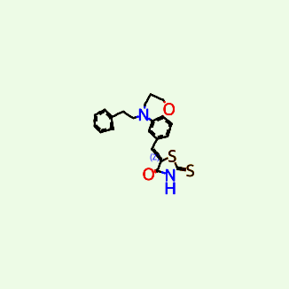 O=C1NC(=S)S/C1=C\c1ccc2c(c1)N(CCc1ccccc1)CCCO2